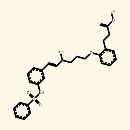 CC(C)OC(=O)CCc1ccccc1OCCCC(O)/C=C/c1cccc(NS(=O)(=O)c2ccccc2)c1